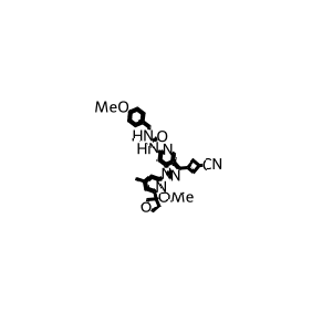 COc1ccc(CNC(=O)Nc2cc3c(cn2)c(C2CC(C#N)C2)nn3-c2cc(C)cc([C@]3(OC)CCOC3)n2)cc1